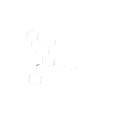 CC(C)CN(C[C@@H](O)[C@H](Cc1ccccc1)NC(=O)OCCCC(=O)O)S(=O)(=O)c1ccccc1[N+](=O)[O-]